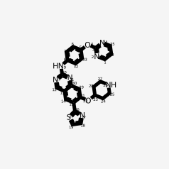 c1cnc(Oc2ccc(Nc3ncc4cc(-c5nccs5)c(OC5CCNCC5)cc4n3)cc2)nc1